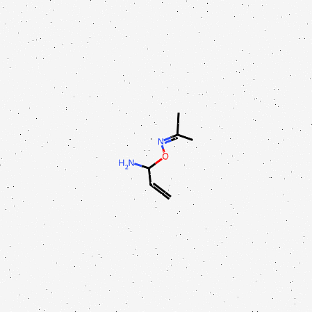 C=CC(N)ON=C(C)C